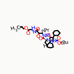 C=CCOC(=O)CNC(=O)C(=O)C(CCC)NC(=O)[C@@H]1C[C@@H]2CCCC[C@@H]2N1C(=O)C(NC(=O)OC(C)(C)C)C1CCCCC1